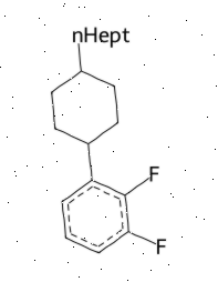 CCCCCCCC1CCC(c2cccc(F)c2F)CC1